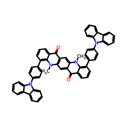 Cn1c2cc3c(=O)c4cccc(-c5ccc(-n6c7ccccc7c7ccccc76)cc5)c4n(C)c3cc2c(=O)c2cccc(-c3ccc(-n4c5ccccc5c5ccccc54)cc3)c21